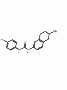 N#Cc1ccc(NC(=O)Nc2ccc3c(c2)CCC(N)C3)cc1